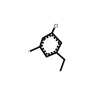 [CH]c1cc(Cl)cc(CC)c1